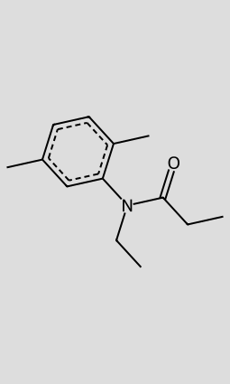 CCC(=O)N(CC)c1cc(C)ccc1C